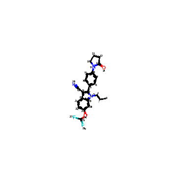 CCCn1c(-c2ccc(N3CCCC3=O)cc2)c(C#N)c2ccc(OC(F)F)cc21